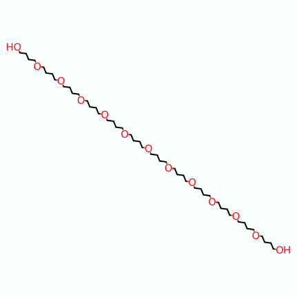 OCCCCOCCCCOCCCCOCCCCOCCCCOCCCCOCCCCOCCCCOCCCCOCCCCOCCCCOCCCCO